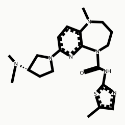 Cc1cnc(NC(=O)N2CCCN(C)c3ccc(N4CC[C@H](N(C)C)C4)nc32)s1